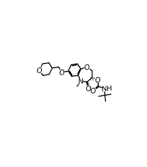 CN1C(=O)[C@@H](OC(=O)NC(C)(C)C)COc2ccc(OCC3CCOCC3)cc21